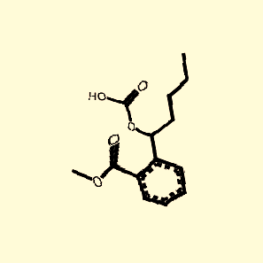 CCCCC(OC(=O)O)c1ccccc1C(=O)OC